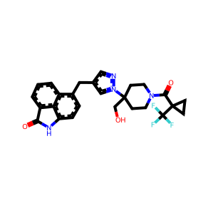 O=C1Nc2ccc(Cc3cnn(C4(CO)CCN(C(=O)C5(C(F)(F)F)CC5)CC4)c3)c3cccc1c23